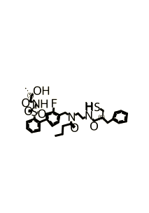 CCCC(=O)N(CCNC(=O)[C@@H](CS)Cc1ccccc1)Cc1ccc(-c2ccccc2S(=O)(=O)NC(=O)[C@H](C)O)cc1F